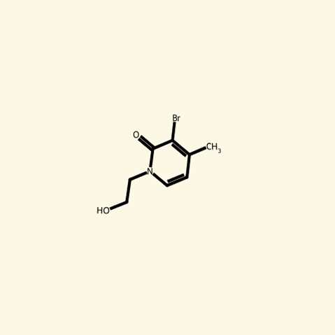 Cc1ccn(CCO)c(=O)c1Br